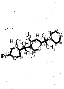 CC(C)C1CN(C)C(C(C)(C)C2COC(C(C)(C)N3CCOCC3)CN2C)CO1